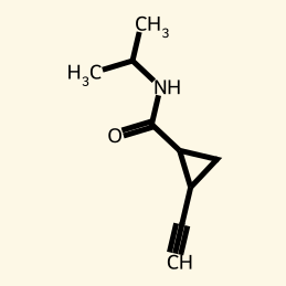 C#CC1CC1C(=O)NC(C)C